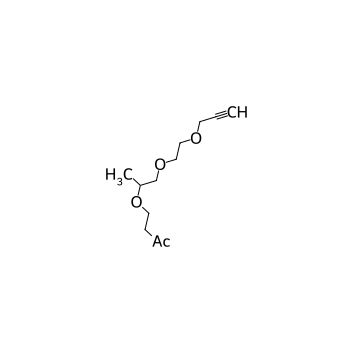 C#CCOCCOCC(C)OCCC(C)=O